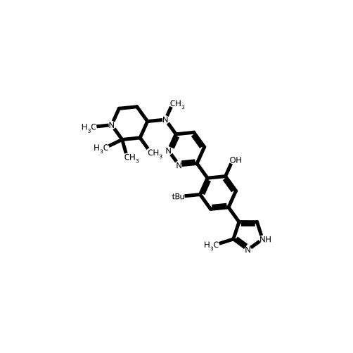 Cc1n[nH]cc1-c1cc(O)c(-c2ccc(N(C)C3CCN(C)C(C)(C)C3C)nn2)c(C(C)(C)C)c1